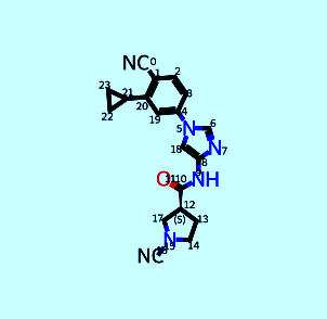 N#Cc1ccc(-n2cnc(NC(=O)[C@H]3CCN(C#N)C3)c2)cc1C1CC1